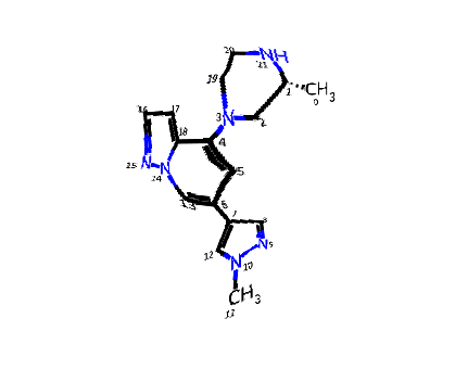 C[C@@H]1CN(c2cc(-c3cnn(C)c3)cn3nccc23)CCN1